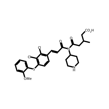 COc1ccccc1Sc1ccc(C=CC(=O)N(C(=O)CC(C)CC(=O)O)C2CCNCC2)c(Cl)c1Cl